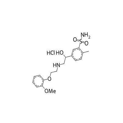 COc1ccccc1OCCNCC(O)c1ccc(C)c(S(N)(=O)=O)c1.Cl